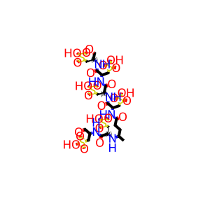 CC(CCC(=O)NC(CS(=O)(=O)O)C(=O)N[C@@H](CS(=O)(=O)O)C(=O)NC(CS(=O)(=O)O)C(=O)N[C@H](C=O)CS(=O)(=O)O)N[C@@H](CS(=O)(=O)O)C(=O)NC(C=O)CS(=O)(=O)O